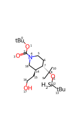 CC(C)(C)OC(=O)N1CC[C@H](C(C)(C)O[SiH2]C(C)(C)C)[C@@H](CCO)C1